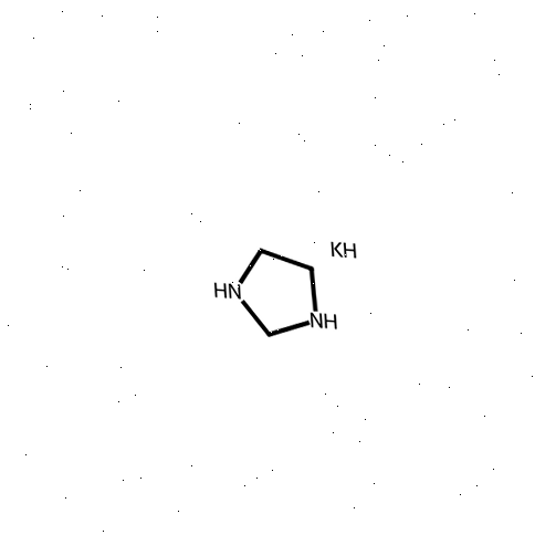 C1CNCN1.[KH]